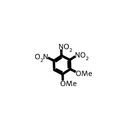 COc1cc([N+](=O)[O-])c([N+](=O)[O-])c([N+](=O)[O-])c1OC